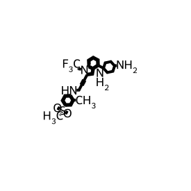 Cc1cc(S(C)(=O)=O)ccc1NCC#Cc1cc2c(C3(N)CCC(N)CC3)cccc2n1CC(F)(F)F